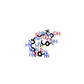 CNC(=O)c1nnc(Nc2ccc(CNC(=O)CCC(=O)N[C@H](C(=O)N3C[C@H](O)C[C@H]3C(=O)N[C@@H](C)c3ccc(-c4scnc4C)cc3)C(C)(C)C)cn2)cc1Nc1cccc(-c2ncn(C)n2)c1OC